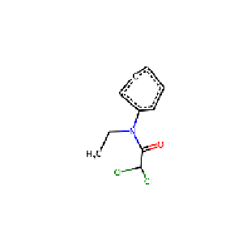 CCN(C(=O)C(Cl)Cl)c1ccccc1